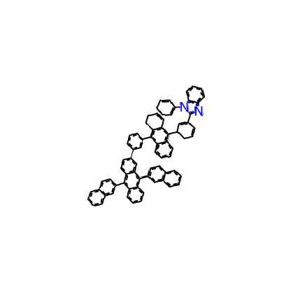 C1=CC(n2c(C3=CC(c4c5c(c(-c6cccc(-c7ccc8c(-c9ccc%10ccccc%10c9)c9ccccc9c(-c9ccc%10ccccc%10c9)c8c7)c6)c6ccccc46)CCC=C5)CC=C3)nc3ccccc32)=CCC1